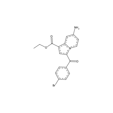 CCOC(=O)c1cc(C(=O)c2ccc(Br)cc2)n2ccc(N)cc12